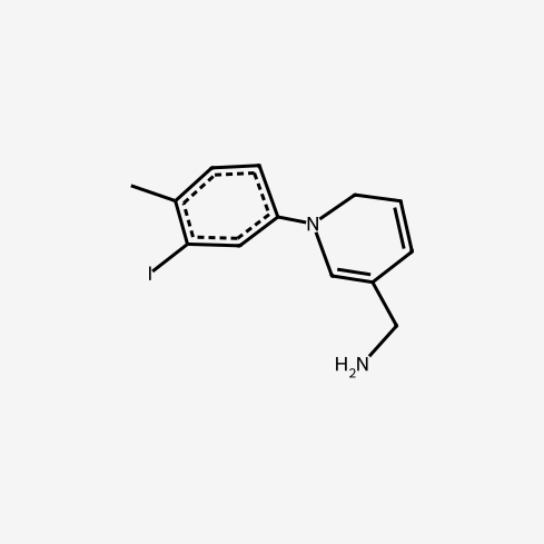 Cc1ccc(N2C=C(CN)C=CC2)cc1I